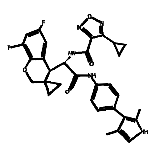 Cc1c[nH]c(C)c1-c1ccc(NC(=O)[C@@H](NC(=O)c2nonc2C2CC2)C2c3cc(F)cc(F)c3OCC23CC3)cc1